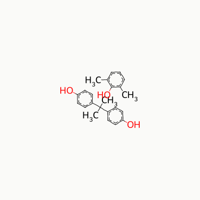 CC(C)(c1ccc(O)cc1)c1ccc(O)cc1.Cc1cccc(C)c1O